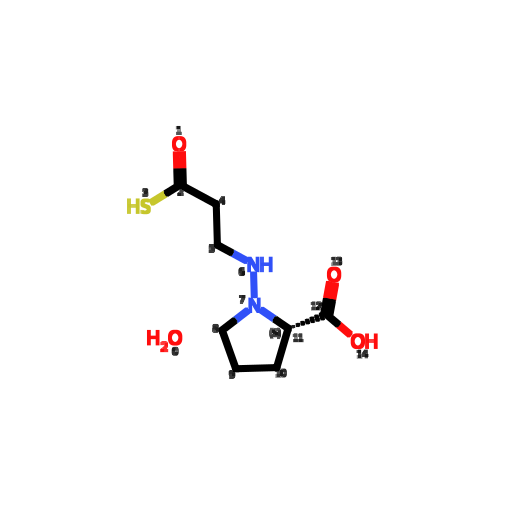 O.O=C(S)CCNN1CCC[C@H]1C(=O)O